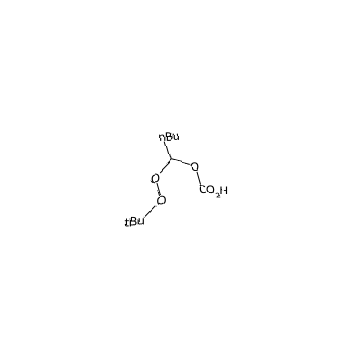 CCCCC(OOC(C)(C)C)OC(=O)O